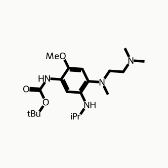 COc1cc(N(C)CCN(C)C)c(NC(C)C)cc1NC(=O)OC(C)(C)C